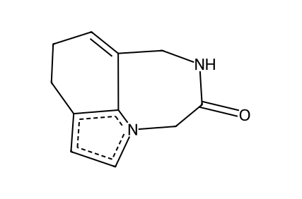 O=C1Cn2ccc3c2C(=CCC3)CN1